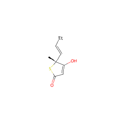 CC/C=C/[C@@]1(C)SC(=O)C=C1O